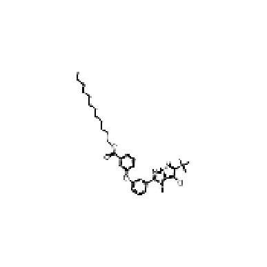 CCCCCCCCCCCCOC(=O)c1cccc(Oc2cccc(-c3nn4nc(C(C)(C)C)c(Cl)c4[nH]3)c2)c1